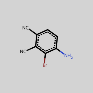 N#Cc1ccc(N)c(Br)c1C#N